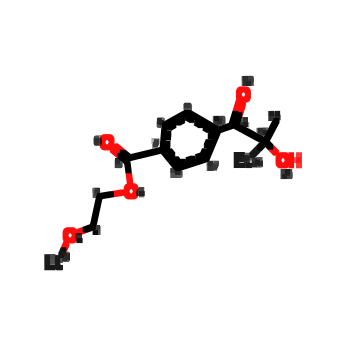 CCOCCOC(=O)c1ccc(C(=O)C(C)(O)CC)cc1